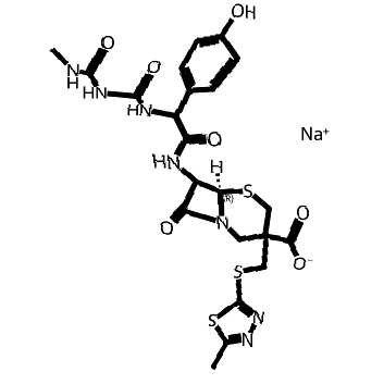 CNC(=O)NC(=O)NC(C(=O)NC1C(=O)N2CC(CSc3nnc(C)s3)(C(=O)[O-])CS[C@H]12)c1ccc(O)cc1.[Na+]